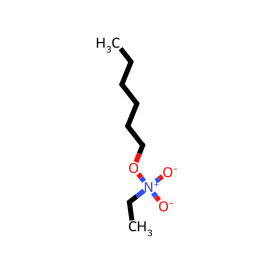 CCCCCCO[N+]([O-])([O-])CC